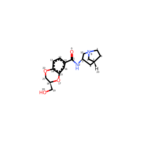 O=C(N[C@@H]1C[C@H]2CCN(C2)C1)c1ccc2c(c1)O[C@@H](CO)CO2